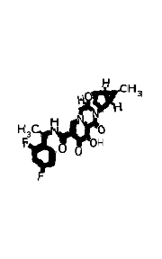 C[C@H]1[C@H]2C3CC([C@@H]12)N1C(=O)c2c(O)c(=O)c(C(=O)N[C@H](C)c4ccc(F)cc4F)cn2C[C@@H]1O3